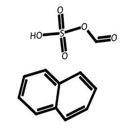 O=COS(=O)(=O)O.c1ccc2ccccc2c1